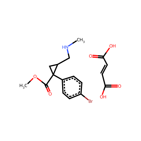 CNCC1CC1(C(=O)OC)c1ccc(Br)cc1.O=C(O)/C=C/C(=O)O